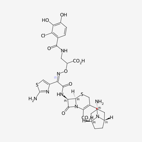 Nc1nc(/C(=N/OC(CNC(=O)c2ccc(O)c(O)c2Cl)C(=O)O)C(=O)N[C@@H]2C(=O)N3C(C(=O)O)=C(CN4[C@@H]5CC[C@H]4C[C@@H](N)C5)CS[C@H]23)cs1